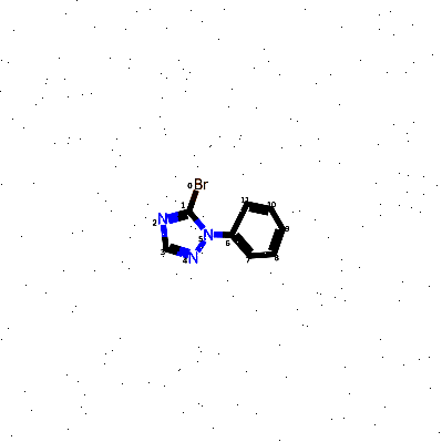 Brc1ncnn1-c1ccccc1